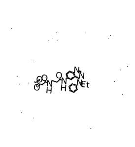 CCN(c1ccccc1)c1ncnc2ccc(NC(=O)CCNC(=O)CS(C)(=O)=O)cc12